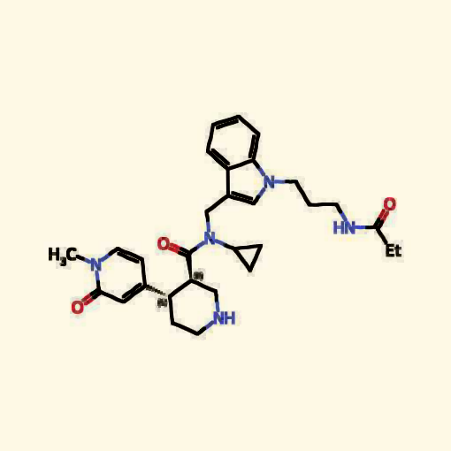 CCC(=O)NCCCn1cc(CN(C(=O)[C@H]2CNCC[C@@H]2c2ccn(C)c(=O)c2)C2CC2)c2ccccc21